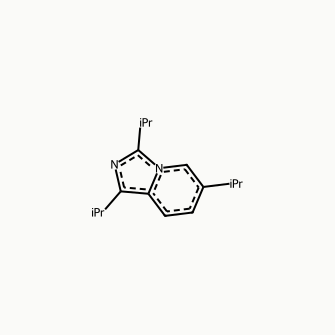 CC(C)c1ccc2c(C(C)C)nc(C(C)C)n2c1